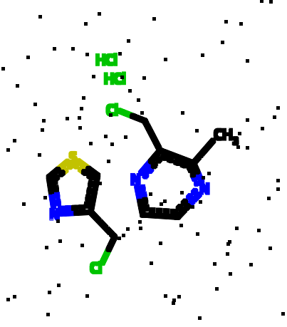 Cc1nccnc1CCl.Cl.Cl.ClCc1cscn1